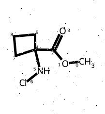 COC(=O)C1(NCl)CCC1